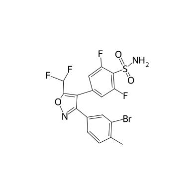 Cc1ccc(-c2noc(C(F)F)c2-c2cc(F)c(S(N)(=O)=O)c(F)c2)cc1Br